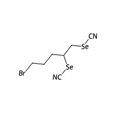 N#C[Se]CC(CCCBr)[Se]C#N